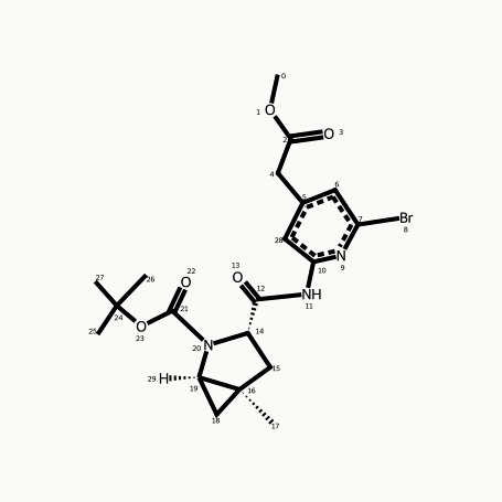 COC(=O)Cc1cc(Br)nc(NC(=O)[C@@H]2C[C@@]3(C)C[C@H]3N2C(=O)OC(C)(C)C)c1